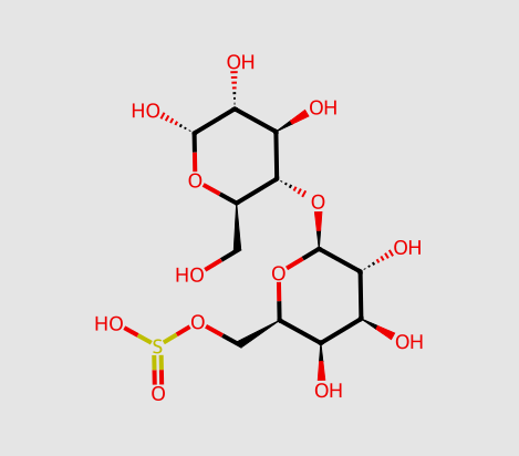 O=S(O)OC[C@H]1O[C@@H](O[C@H]2[C@H](O)[C@@H](O)[C@@H](O)O[C@@H]2CO)[C@H](O)[C@@H](O)[C@H]1O